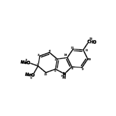 COC1(OC)C=Cc2c([nH]c3ccc(C=O)cc23)C1